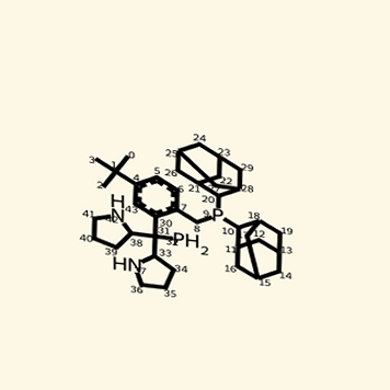 CC(C)(C)c1ccc(CP(C2C3CC4CC(C3)CC2C4)C2C3CC4CC(C3)CC2C4)c(C(P)(C2CCCN2)C2CCCN2)c1